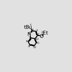 CCOc1cc(C(C)(C)C)nc2ccccc12